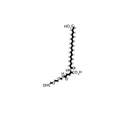 O=CCOCCOCNC(=O)CCC(NC(=O)CCCCCCCCCCCCCCCCCCC(=O)O)C(=O)O